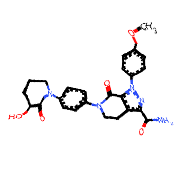 COc1ccc(-n2nc(C(N)=O)c3c2C(=O)N(c2ccc(N4CCCC(O)C4=O)cc2)CC3)cc1